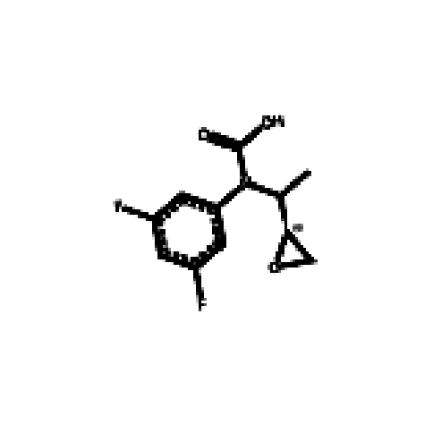 CC([C@H]1CO1)N(C(=O)O)c1cc(F)cc(F)c1